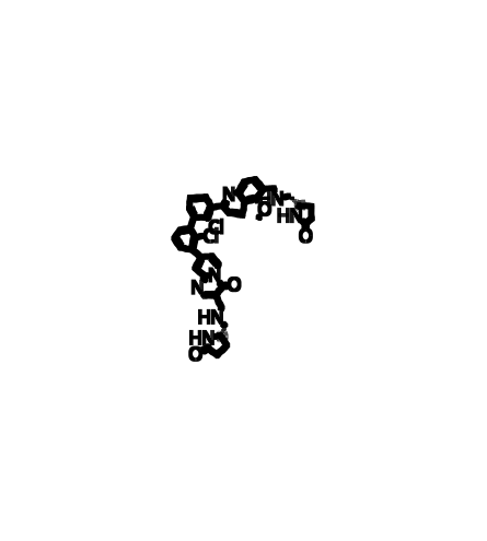 COc1c(CNC[C@@H]2CCC(=O)N2)ccc2nc(-c3cccc(-c4cccc(-c5ccn6c(=O)c(CNC[C@@H]7CCC(=O)N7)cnc6c5)c4Cl)c3Cl)ccc12